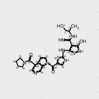 CC(CO)NC(=N)c1c(O)nsc1Nc1ncc(C(=O)n2ccc3c(C(=O)N4CCCC4)cncc32)s1